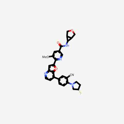 COc1cc(C(=O)NC2C3COCC32)cnc1-c1cc2nccc(-c3ccc(N4CC[C@H](F)C4)c(C#N)c3)c2o1